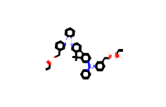 C=CC(=O)OCCc1cccc(N(c2ccccc2)c2ccc3c(c2)C(C)(C)c2cc(N(c4ccccc4)c4cccc(CCOC(=O)C=C)c4)ccc2-3)c1